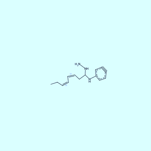 CC/C=C\C=C/CC(NN)Nc1cc#ccc1